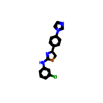 Clc1cccc(NC2=NC(c3ccc(-n4ccnc4)cc3)CS2)c1